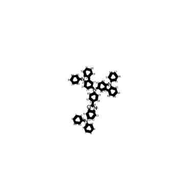 c1ccc(N(c2ccccc2)c2ccc3nc(-c4ccc(N(c5ccc6c(c5)c5ccccc5n6-c5ccccc5)c5ccc6c(c5)c5ccccc5n6-c5ccccc5)cc4)oc3c2)cc1